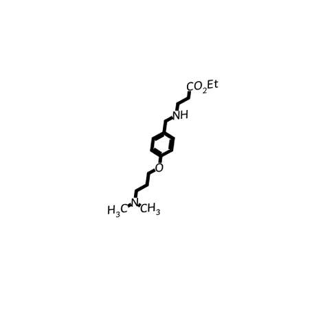 CCOC(=O)CCNCc1ccc(OCCCN(C)C)cc1